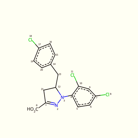 O=C(O)C1=NN(c2ccc(Cl)cc2Cl)C(Cc2ccc(Cl)cc2)C1